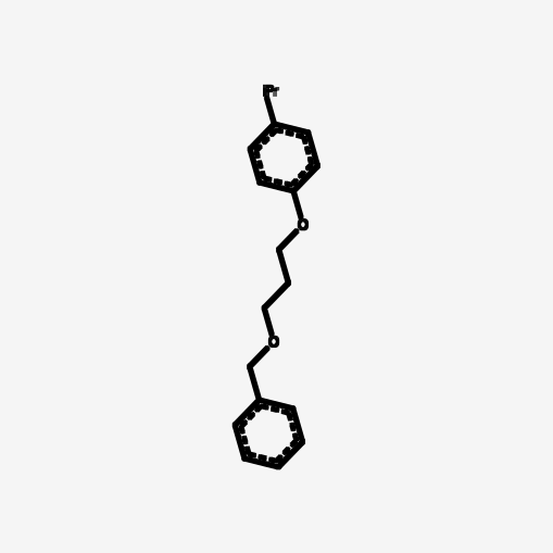 CC(C)c1ccc(OCCCOCc2ccccc2)cc1